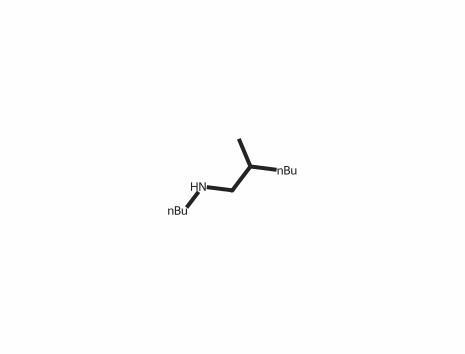 CCCCNCC(C)CCCC